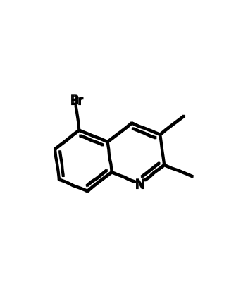 Cc1cc2c(Br)cccc2nc1C